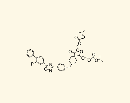 CC(C)OC(=O)OCOC(=O)C1(C(=O)OCOC(=O)OC(C)C)CCN(Cc2ccc(-c3noc(-c4ccc(-c5ccccc5)c(F)c4)n3)cc2)CC1